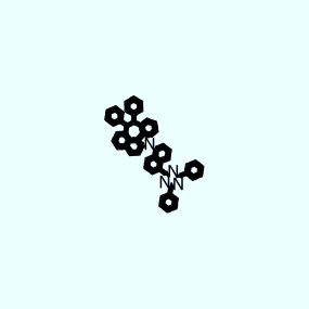 c1ccc(-c2nc(-c3ccccc3)nc(-c3cccc4c(-n5c6cccc7c6c6c8c(cccc8ccc65)C(c5ccccc5)C7c5ccccc5)cccc34)n2)cc1